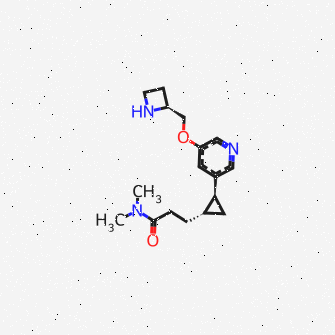 CN(C)C(=O)CC[C@H]1C[C@@H]1c1cncc(OC[C@@H]2CCN2)c1